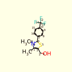 CC1=C(CO)SC(c2ccc(C(F)(F)F)cc2)N1C